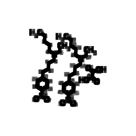 CCCCCN(CC)CCCCc1ccc([N+](=O)[O-])cc1.CCCCCN(CC)CCCCc1ccc([N+](=O)[O-])cc1.O=C(O)C(=O)O